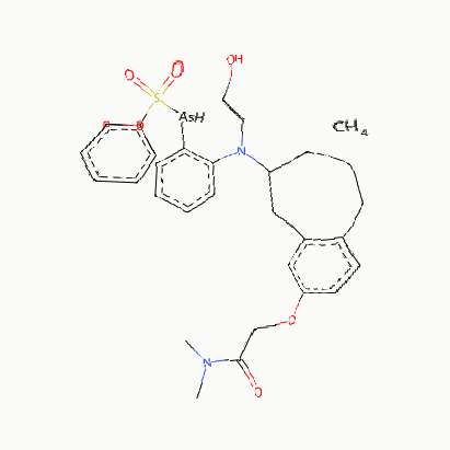 C.CN(C)C(=O)COc1ccc2c(c1)CC(N(CCO)c1ccccc1[AsH]S(=O)(=O)c1cc3ccc1OC3)CCC2